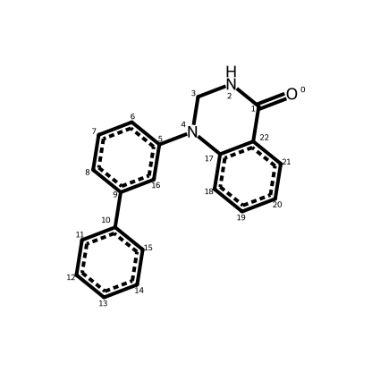 O=C1NCN(c2cccc(-c3ccccc3)c2)c2ccccc21